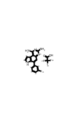 Nc1nc(N)c2c(cc(-c3cccc(F)c3)c3[nH]ccc32)n1.O=C(O)C(F)(F)F